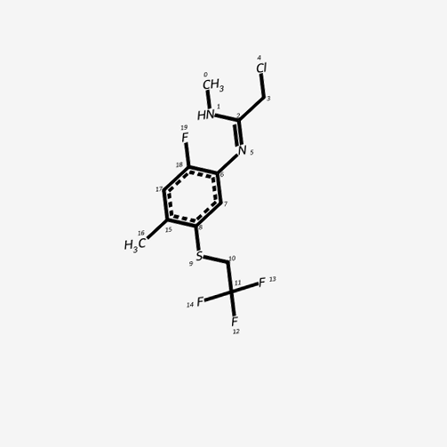 CN/C(CCl)=N\c1cc(SCC(F)(F)F)c(C)cc1F